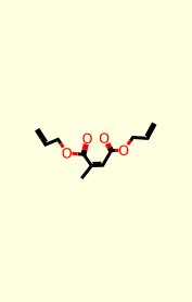 C=CCOC(=O)/C=C(/C)C(=O)OCC=C